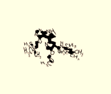 COCOc1cnc(-c2c[nH]c3ncnc(OCC[Si](C)(C)C)c23)cc1C(=O)NC(C)(C)CC(C)(C)C